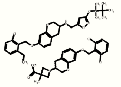 CC1(C(=O)O)CN(C2COc3cc(OCc4c(Cl)cccc4Cl)ccc3C2)C1.CCc1cccc(Cl)c1COc1ccc2c(c1)OCC(NCc1cc(O[Si](C)(C)C(C)(C)C)no1)C2